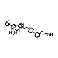 Nc1nc2c(cnn2CCN2CCN(c3cccc(OCCO)c3)CC2)c2cc(-c3ccco3)nn12